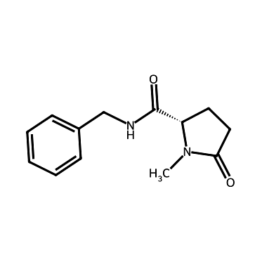 CN1C(=O)CC[C@H]1C(=O)NCc1ccccc1